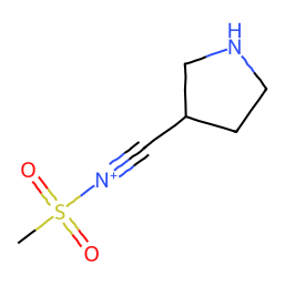 CS(=O)(=O)[N+]#CC1CCNC1